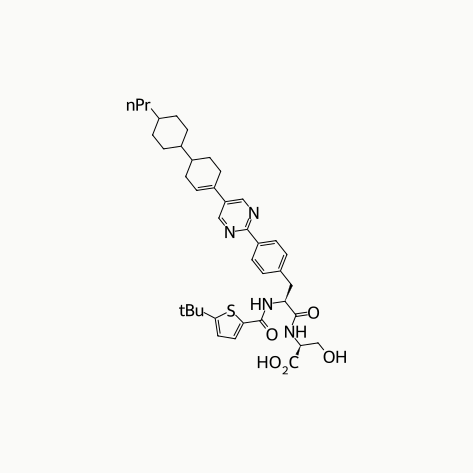 CCCC1CCC(C2CC=C(c3cnc(-c4ccc(C[C@H](NC(=O)c5ccc(C(C)(C)C)s5)C(=O)N[C@@H](CO)C(=O)O)cc4)nc3)CC2)CC1